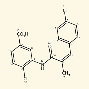 CC(=Cc1ccc(Cl)cc1)C(=O)Nc1cc(C(=O)O)ccc1Cl